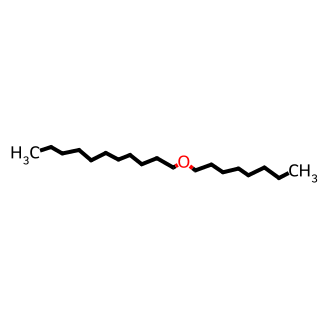 CCCCCCCCCCCOCCCCCCCC